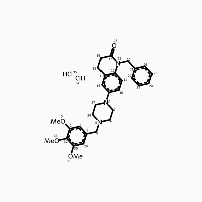 COc1cc(CN2CCN(c3ccc4c(c3)CCC(=O)N4Cc3ccccc3)CC2)cc(OC)c1OC.Cl.Cl